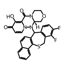 O=C1c2c(O)c(=O)ccn2N(C2c3ccc(F)c(F)c3CSc3c2ccc2ccccc32)[C@H]2COCCN12